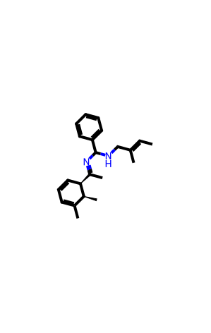 C/C=C(\C)CNC(/N=C(\C)[C@@H]1C=CC=C(C)[C@@H]1C)c1ccccc1